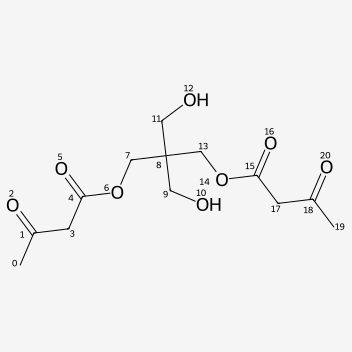 CC(=O)CC(=O)OCC(CO)(CO)COC(=O)CC(C)=O